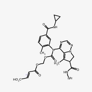 CCCNC(=O)C1CN2N=CN=C(N(C(=O)OCOC(=O)/C=C/C(=O)O)c3cc(C(=O)NC4CC4)ccc3C)C2=C1C